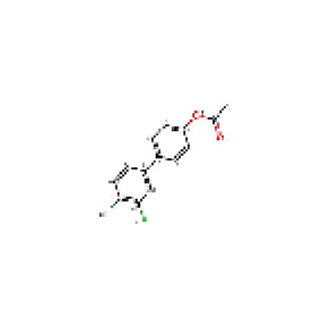 CC(=O)Oc1ccc(-c2ccc(F)c(F)c2)cc1